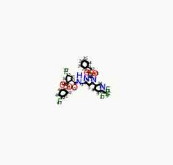 O=C(NCc1cc(-c2ccc(C(F)(F)F)nc2)nc(S(=O)(=O)Cc2ccccc2)n1)[C@@H]1C[C@@H](F)CC1S(=O)(=O)c1ccc(F)cc1